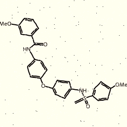 C=S(=O)(Nc1ccc(Oc2ccc(NC(=O)c3cccc(OC)c3)cc2)cc1)c1ccc(OC)cc1